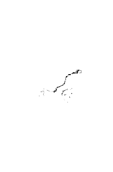 CCCCCCC[CH2][Sn][CH2]CCCCC(C)C.O=C(O)CS